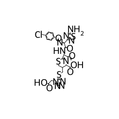 Nc1nc(C(=NOc2ccc(Cl)cc2)C(=O)NC2C(=O)[N+]3=C2SCC(CSc2nnnn2CC(=O)O)C3C(=O)O)ns1